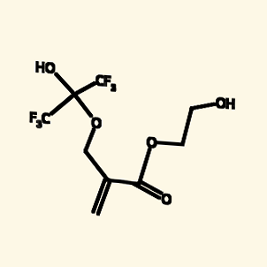 C=C(COC(O)(C(F)(F)F)C(F)(F)F)C(=O)OCCO